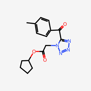 Cc1ccc(C(=O)c2nnnn2CC(=O)OC2CCCC2)cc1